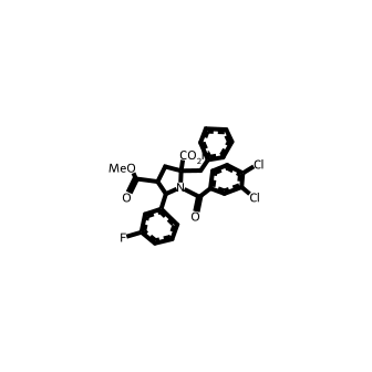 COC(=O)C1CC(Cc2ccccc2)(C(=O)O)N(C(=O)c2ccc(Cl)c(Cl)c2)C1c1cccc(F)c1